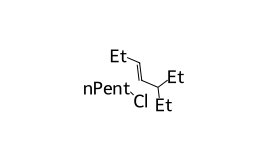 CCC=CC(CC)CC.CCCCCCl